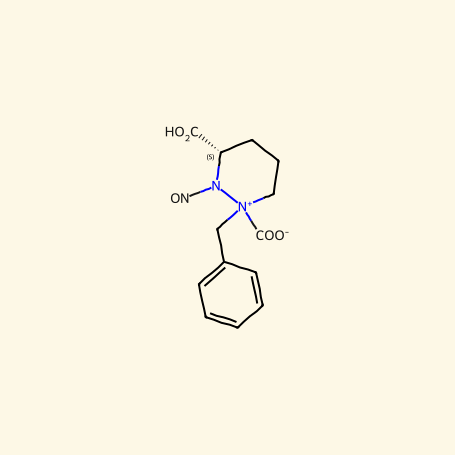 O=NN1[C@H](C(=O)O)CCC[N+]1(Cc1ccccc1)C(=O)[O-]